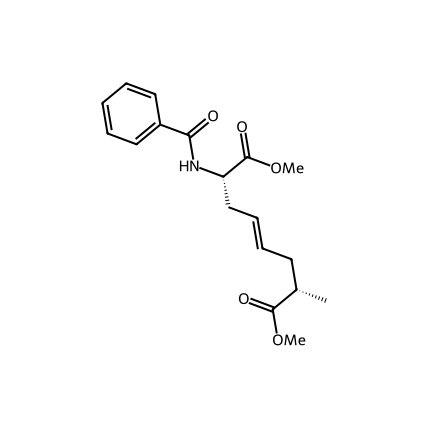 COC(=O)[C@H](CC=CC[C@H](C)C(=O)OC)NC(=O)c1ccccc1